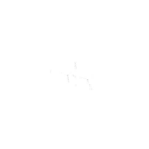 CCCCCCCCC[CH]([K])CCCC.O=C(O)CC(C(=O)O)S(=O)(=O)O